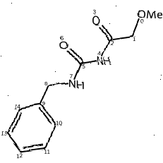 COCC(=O)NC(=O)NCc1ccccc1